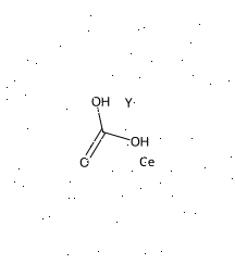 O=C(O)O.[Ce].[Y]